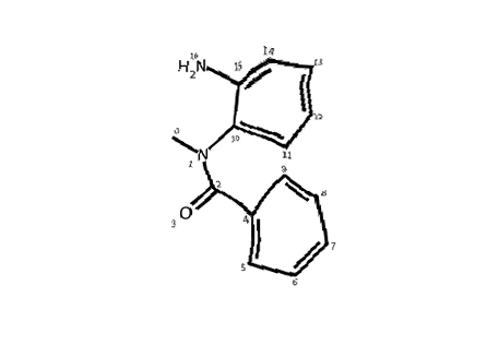 CN(C(=O)c1ccccc1)c1ccccc1N